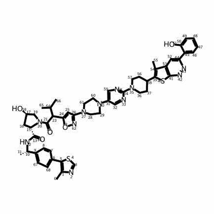 Cc1ncsc1-c1ccc([C@H](C)NC(=O)[C@@H]2C[C@@H](O)CN2C(=O)C(c2cc(N3CCN(c4cnc(N5CCC(c6sc7nnc(-c8ccccc8O)cc7c6C)CC5)nc4)CC3)no2)C(C)C)cc1